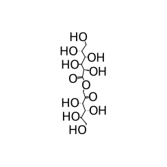 O=C(COC(=O)[C@H](O)[C@@H](O)[C@@H](O)[C@H](O)CO)[C@@H](O)[C@H](O)[C@H](O)CO